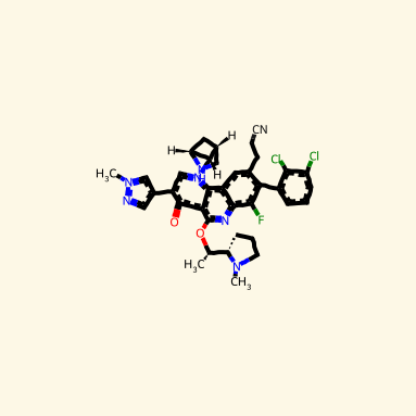 C[C@H](Oc1nc2c(F)c(-c3cccc(Cl)c3Cl)c(CCC#N)cc2c2c1c(=O)c(-c1cnn(C)c1)cn2[C@H]1[C@H]2CN[C@@H]1C2)[C@@H]1CCCN1C